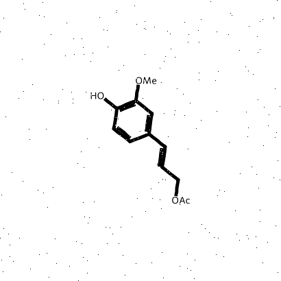 COc1cc(/C=C/COC(C)=O)ccc1O